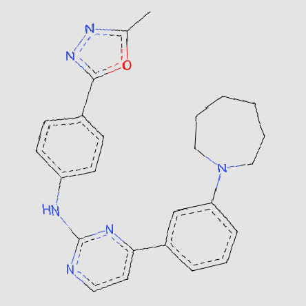 Cc1nnc(-c2ccc(Nc3nccc(-c4cccc(N5CCCCCC5)c4)n3)cc2)o1